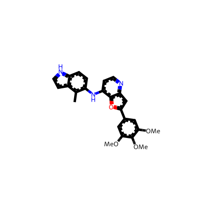 COc1cc(-c2cc3nccc(Nc4ccc5[nH]ccc5c4C)c3o2)cc(OC)c1OC